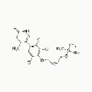 CC1CC(=O)NN=C1c1cc(Cl)c(OC/C=C\CO[Si](C)(C)C(C)(C)C)c(Cl)c1Cl